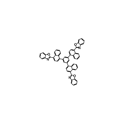 c1ccc2oc(-c3ccc(-c4cc(-c5ccc(-c6nc7ccccc7o6)c6ccccc56)cc(-c5ccc(-c6nc7ccccc7o6)c6ccccc56)c4)c4ccccc34)nc2c1